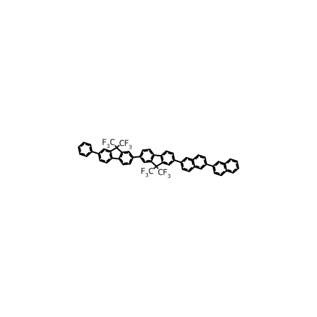 FC(F)(F)C1(C(F)(F)F)c2cc(-c3ccccc3)ccc2-c2ccc(-c3ccc4c(c3)C(C(F)(F)F)(C(F)(F)F)c3cc(-c5ccc6cc(-c7ccc8ccccc8c7)ccc6c5)ccc3-4)cc21